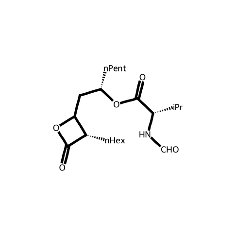 CCCCCC[C@@H]1C(=O)OC1C[C@H](CCCCC)OC(=O)[C@@H](NC=O)C(C)C